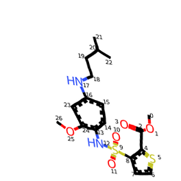 COC(=O)c1sccc1S(=O)(=O)Nc1ccc(NCCC(C)C)cc1OC